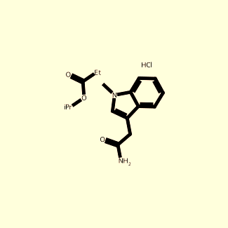 CCC(=O)OC(C)C.Cl.Cn1cc(CC(N)=O)c2ccccc21